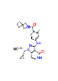 Cc1cc(Nc2nn([C@@H](CC#N)C3CC3)c3cc[nH]c(=O)c23)ccc1C(=O)N1CC2(CCC2)C1